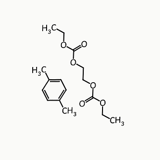 CCOC(=O)OCCOC(=O)OCC.Cc1ccc(C)cc1